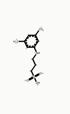 Cc1cc(C)cc(NCCCS(=O)(=O)O)c1